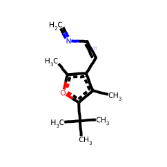 C=N/C=C\c1c(C)oc(C(C)(C)C)c1C